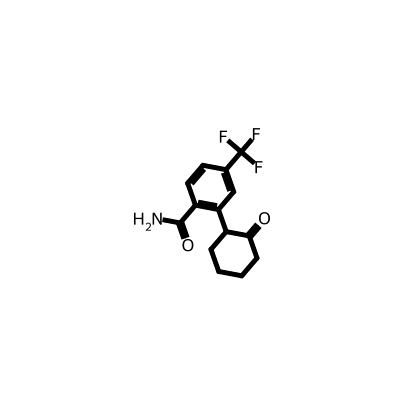 NC(=O)c1ccc(C(F)(F)F)cc1C1CCCCC1=O